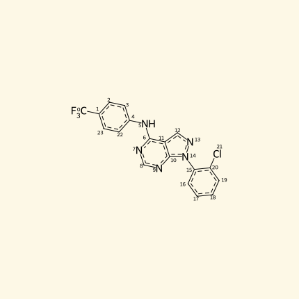 FC(F)(F)c1ccc(Nc2ncnc3c2cnn3-c2ccccc2Cl)cc1